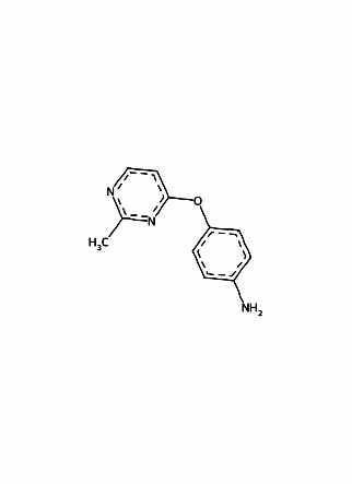 Cc1nccc(Oc2ccc(N)cc2)n1